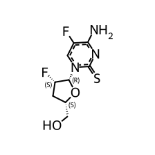 Nc1nc(=S)n([C@@H]2O[C@H](CO)C[C@@H]2F)cc1F